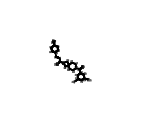 O=C(/C=C/c1ccc(Br)cc1)N1CC2(CCN(C(=O)c3cc(F)cc(F)c3)CC2)C1